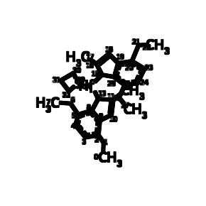 CCc1ccc(CC)c2c1C=C(C)[CH]2[Hf]([CH]1C(C)=Cc2c(CC)ccc(CC)c21)=[Si]1CCC1